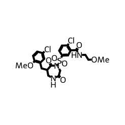 COCCNC(=O)c1cc(S(=O)(=O)N2CC(=O)NCC(Cc3cc(Cl)ccc3OC)C2=O)ccc1Cl